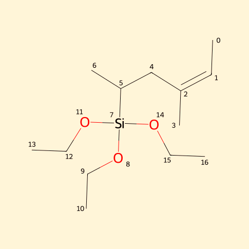 CC=C(C)CC(C)[Si](OCC)(OCC)OCC